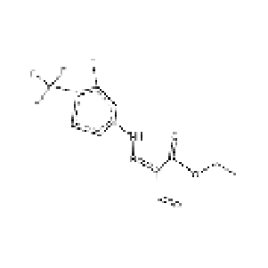 CCOC(=O)/C(C=O)=N\Nc1ccc(C(F)(F)F)c(F)c1